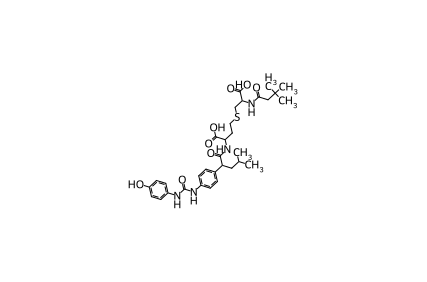 CC(C)CC(C(=O)NC(CCSCC(NC(=O)CC(C)(C)C)C(=O)O)C(=O)O)c1ccc(NC(=O)Nc2ccc(O)cc2)cc1